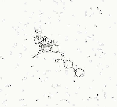 CCC[C@@H]1Cc2cc(OC(=O)N3CCC(N4CCOCC4)CC3)ccc2[C@H]2CC[C@]3(C)[C@@H](O)CC[C@H]3[C@H]12